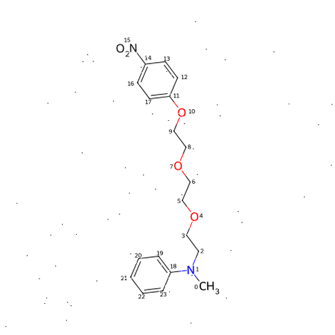 CN(CCOCCOCCOc1ccc([N+](=O)[O-])cc1)c1ccccc1